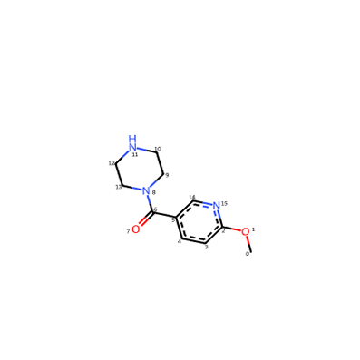 COc1ccc(C(=O)N2CCNCC2)cn1